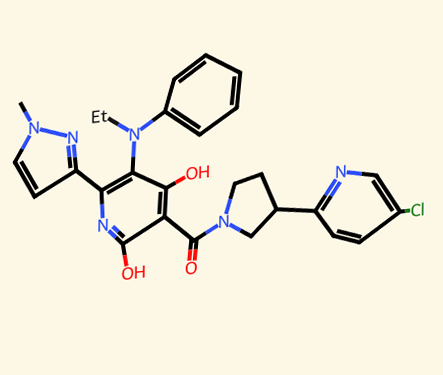 CCN(c1ccccc1)c1c(-c2ccn(C)n2)nc(O)c(C(=O)N2CCC(c3ccc(Cl)cn3)C2)c1O